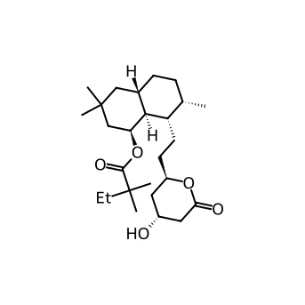 CCC(C)(C)C(=O)O[C@H]1CC(C)(C)C[C@@H]2CC[C@H](C)[C@H](CC[C@@H]3C[C@@H](O)CC(=O)O3)[C@H]21